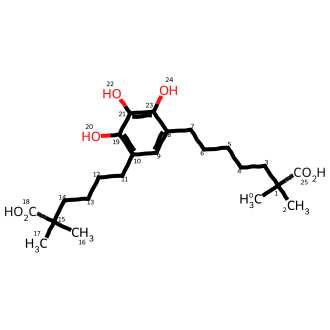 CC(C)(CCCCCc1cc(CCCCC(C)(C)C(=O)O)c(O)c(O)c1O)C(=O)O